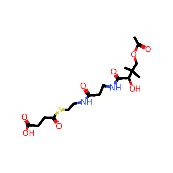 CC(=O)OCC(C)(C)C(O)C(=O)NCCC(=O)NCCSC(=O)CCC(=O)O